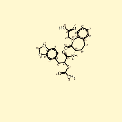 CC(=O)S[C@@H](Cc1ccc2c(c1)OCO2)C(=O)N[C@H]1CCc2ccccc2N(CC(=O)O)C1=O